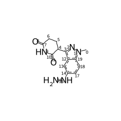 Cn1nc(C2CCC(=O)NC2=O)c2cc(NN)ccc21